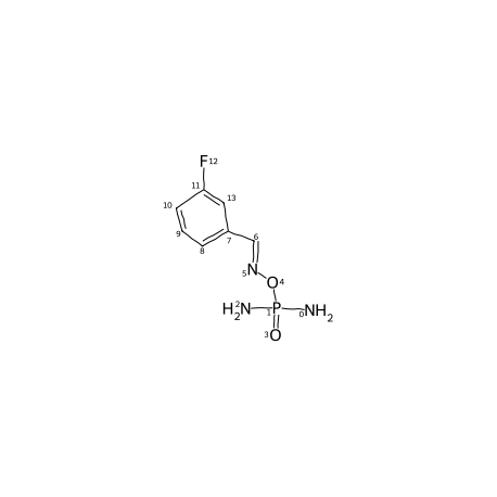 NP(N)(=O)ON=Cc1cccc(F)c1